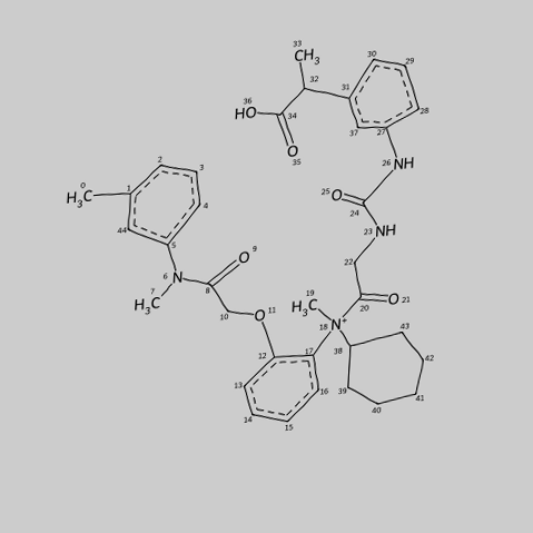 Cc1cccc(N(C)C(=O)COc2ccccc2[N+](C)(C(=O)CNC(=O)Nc2cccc(C(C)C(=O)O)c2)C2CCCCC2)c1